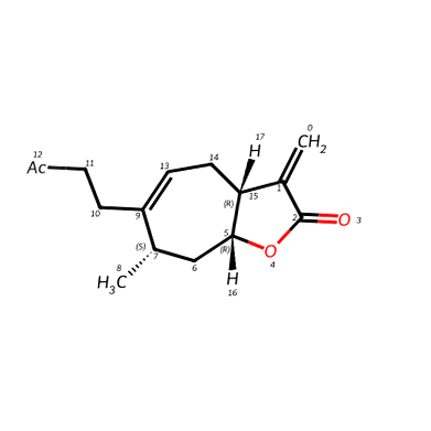 C=C1C(=O)O[C@@H]2C[C@H](C)C(CCC(C)=O)=CC[C@H]12